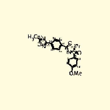 COc1ccc(S(=O)(=NC(=O)c2ccc(-c3noc(C)n3)cc2)C(C)C)cc1